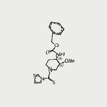 CO[C@H]1CN(C(=S)n2ccnc2)CC[C@H]1NC(=O)OCc1ccccc1